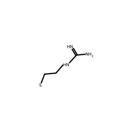 N=C(N)NCCC[S]